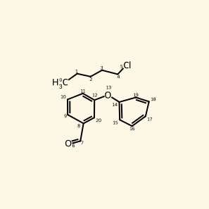 CCCCCCl.O=Cc1cccc(Oc2ccccc2)c1